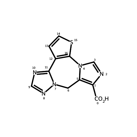 O=C(O)c1ncn2c1Cn1ncnc1-c1ccsc1-2